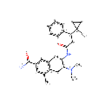 Cc1cc(C(N)=O)cc(C)c1C[C@@H](CNC(=O)CC(c1ccccc1)C1(C(F)(F)F)CC1)N(C)C